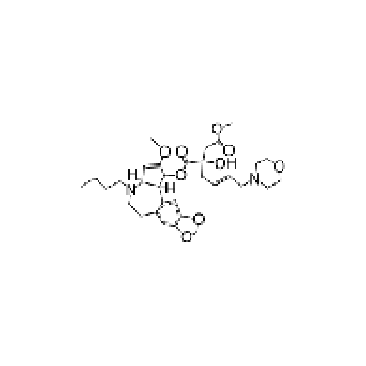 CCCCN1CCc2cc3c(cc2[C@@H]2[C@H](OC(=O)[C@@](O)(C/C=C/CN4CCOCC4)CC(=O)OC)C(OC)=C[C@@H]21)OCO3